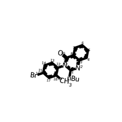 CCCCc1nc2ccccc2c(=O)n1-c1ccc(Br)cc1C